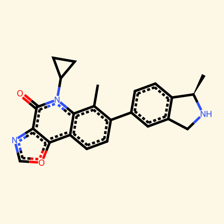 Cc1c(-c2ccc3c(c2)CN[C@@H]3C)ccc2c3ocnc3c(=O)n(C3CC3)c12